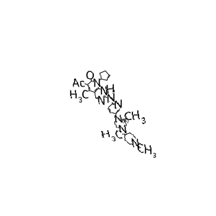 CC(=O)c1c(C)c2cnc(Nc3ccc(N4CCN(C5(C)CCN(C)CC5)C[C@H]4C)cn3)nc2n(C2CCCC2)c1=O